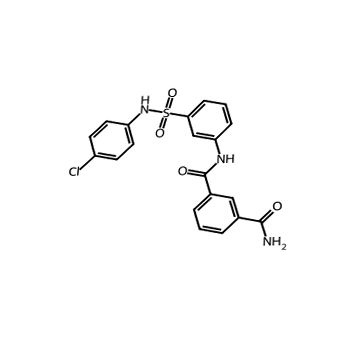 NC(=O)c1cccc(C(=O)Nc2cccc(S(=O)(=O)Nc3ccc(Cl)cc3)c2)c1